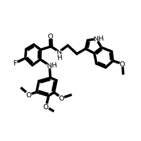 COc1ccc2c(CCNC(=O)c3ccc(F)cc3Nc3cc(OC)c(OC)c(OC)c3)c[nH]c2c1